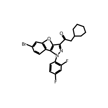 O=C(CC1CCCCC1)c1nn(-c2ccc(F)cc2F)c2c1oc1cc(Br)ccc12